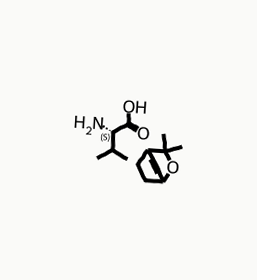 CC(C)[C@H](N)C(=O)O.CC1(C)OC2C=CC1CC2